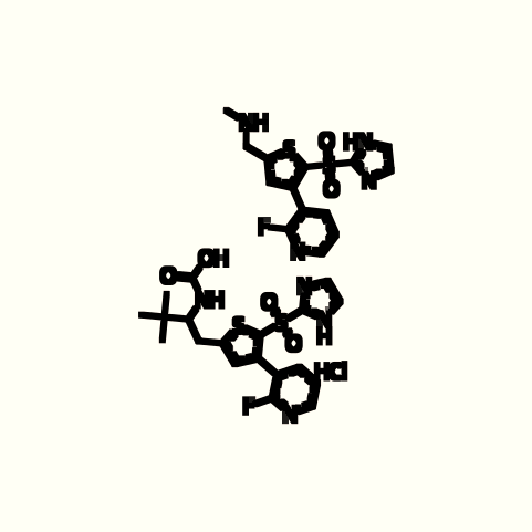 CC(C)(C)C(Cc1cc(-c2cccnc2F)c(S(=O)(=O)c2ncc[nH]2)s1)NC(=O)O.CNCc1cc(-c2cccnc2F)c(S(=O)(=O)c2ncc[nH]2)s1.Cl